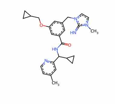 Cc1ccnc(C(NC(=O)c2cc(Cn3ccn(C)c3=N)cc(OCC3CC3)c2)C2CC2)c1